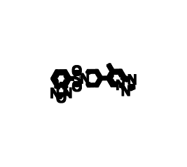 Cc1cc2ncnn2cc1C1CCN(S(=O)(=O)c2cccc3nonc23)CC1